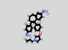 Nc1ccc(C2=C(c3ccc(O[C@H]4CCN(CCCF)C4)cc3)c3ccc(N)cc3CCC2)c(F)c1